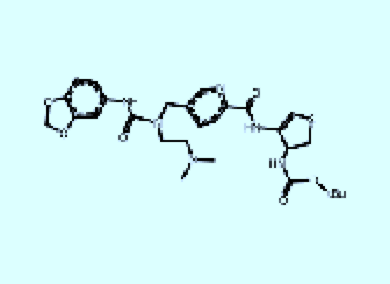 CN(C)CCN(Cc1ccc(C(=O)NC2=CSCC2NC(=O)OC(C)(C)C)nc1)C(=O)Nc1ccc2c(c1)OCO2